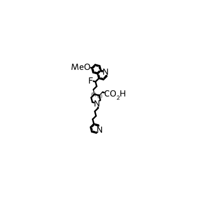 COc1ccc2nccc(C(F)CC[C@@H]3CCN(CCCCc4cccnc4)C[C@@H]3CC(=O)O)c2c1